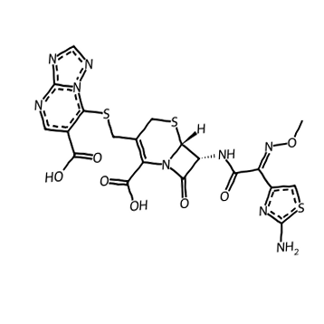 CON=C(C(=O)N[C@@H]1C(=O)N2C(C(=O)O)=C(CSc3c(C(=O)O)cnc4ncnn34)CS[C@H]12)c1csc(N)n1